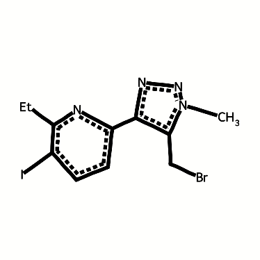 CCc1nc(-c2nnn(C)c2CBr)ccc1I